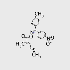 CSCC[C@H](C)C(=O)O/N=C(/c1ccc(C)cc1)c1ccc([N+](=O)[O-])cc1